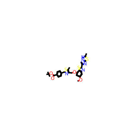 COc1cc(OCc2nc(-c3ccc(C(=O)OC(C)(C)C)cc3)sc2C)c2sc(-c3cn4nc(C)sc4n3)nc2c1